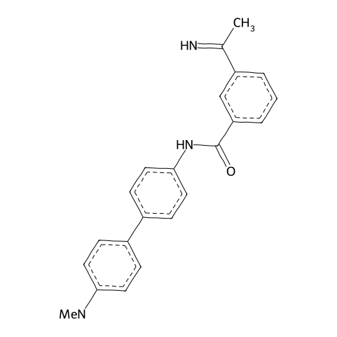 CNc1ccc(-c2ccc(NC(=O)c3cccc(C(C)=N)c3)cc2)cc1